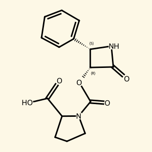 O=C(O)C1CCCN1C(=O)O[C@H]1C(=O)N[C@H]1c1ccccc1